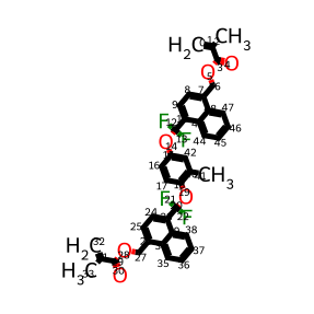 C=C(C)C(=O)OCc1ccc(C(F)(F)Oc2ccc(OC(F)(F)c3ccc(COC(=O)C(=C)C)c4ccccc34)c(C)c2)c2ccccc12